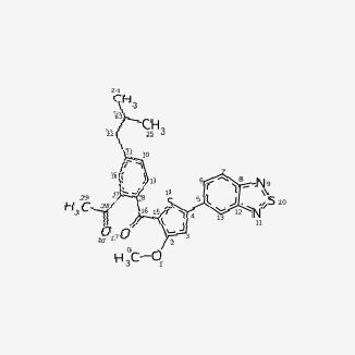 COc1cc(-c2ccc3nsnc3c2)sc1C(=O)c1ccc(CC(C)C)cc1C(C)=O